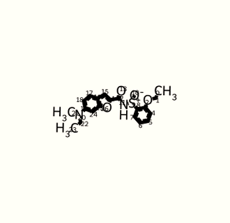 CCOc1ccccc1[S+]([O-])NC(=O)c1cc2ccc(N(C)CC)cc2o1